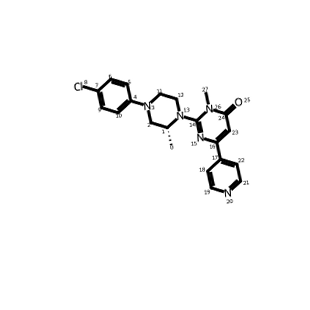 C[C@@H]1CN(c2ccc(Cl)cc2)CCN1c1nc(-c2ccncc2)cc(=O)n1C